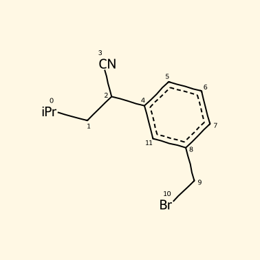 CC(C)CC(C#N)c1cccc(CBr)c1